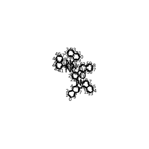 c1ccc2cc3c(cc2c1)c1c2ccccc2ccc1n3-c1ccc(-c2nc(-c3cccc4ccccc34)nc(-c3cccc4ccccc34)n2)c2c1oc1c3ccccc3ccc12